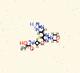 CC(C)[C@@H](O)C(=O)N(C)[C@H]1C[C@H](Oc2nc(N3CCOCC3)nc(-c3cnc(N)nc3)c2F)C1